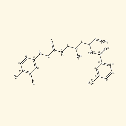 C=CC(CC(O)CNC(=O)COc1ccc(Cl)c(F)c1)NC(=O)c1cc(C)ccn1